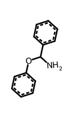 NC(Oc1ccccc1)c1ccccc1